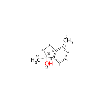 Cc1cccc2c1CC[C@]2(C)O